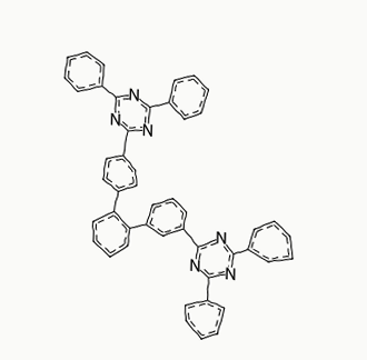 c1ccc(-c2nc(-c3ccccc3)nc(-c3ccc(-c4ccccc4-c4cccc(-c5nc(-c6ccccc6)nc(-c6ccccc6)n5)c4)cc3)n2)cc1